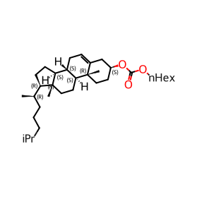 CCCCCCOC(=O)O[C@H]1CC[C@@]2(C)C(=CC[C@H]3[C@@H]4CC[C@H]([C@H](C)CCCC(C)C)[C@@]4(C)CC[C@@H]32)C1